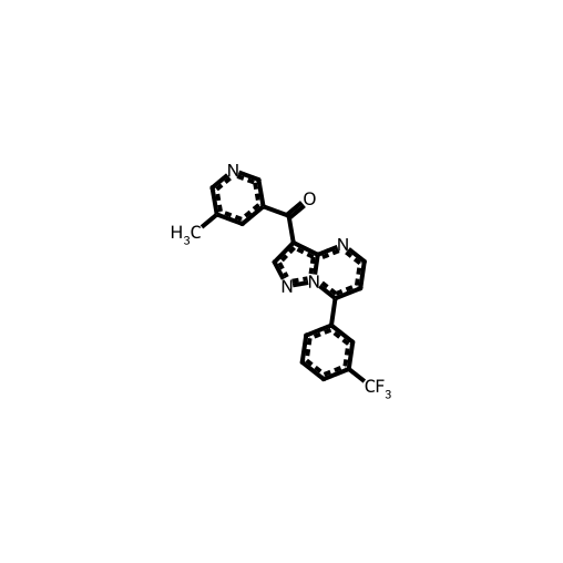 Cc1cncc(C(=O)c2cnn3c(-c4cccc(C(F)(F)F)c4)ccnc23)c1